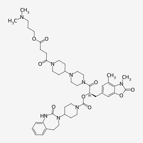 Cc1cc(C[C@@H](OC(=O)N2CCC(N3CCc4ccccc4NC3=O)CC2)C(=O)N2CCN(C3CCN(C(=O)CCC(=O)OCCCN(C)C)CC3)CC2)cc2oc(=O)n(C)c12